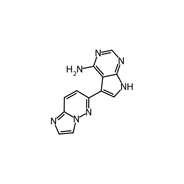 Nc1ncnc2[nH]cc(-c3ccc4nccn4n3)c12